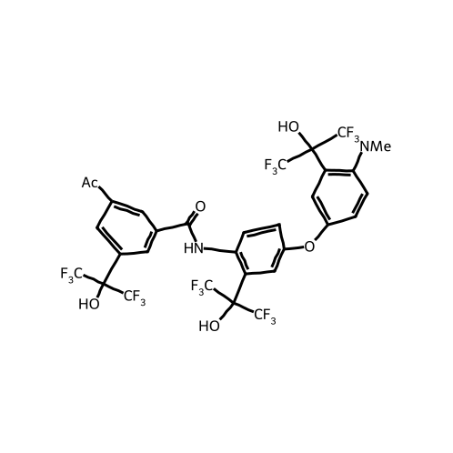 CNc1ccc(Oc2ccc(NC(=O)c3cc(C(C)=O)cc(C(O)(C(F)(F)F)C(F)(F)F)c3)c(C(O)(C(F)(F)F)C(F)(F)F)c2)cc1C(O)(C(F)(F)F)C(F)(F)F